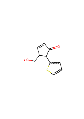 O=C1C=CC(CO)C1c1cccs1